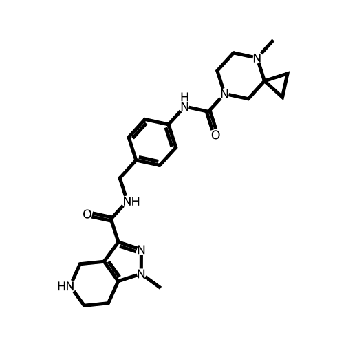 CN1CCN(C(=O)Nc2ccc(CNC(=O)c3nn(C)c4c3CNCC4)cc2)CC12CC2